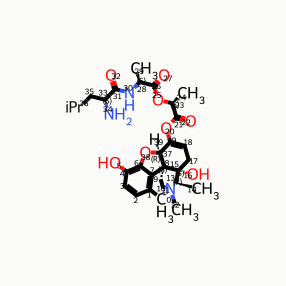 Cc1ccc(O)c2c1[C@]13CCN(C)[C@H](C)[C@]1(O)CC=C(OC(=O)[C@H](C)OC(=O)[C@H](C)NC(=O)[C@@H](N)CC(C)C)[C@@H]3O2